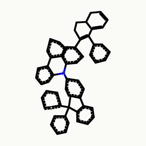 C1=CCC2CCC(c3ccc(N(c4ccc5c(c4)C(c4ccccc4)(c4ccccc4)c4ccccc4-5)c4ccccc4-c4ccccc4)cc3)=C(c3ccccc3)C2=C1